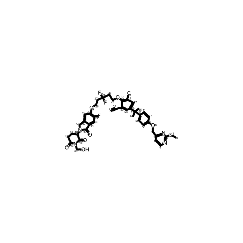 CSc1nccc(COc2ccc(C(C)(C)c3cc(Cl)c(OCCC(F)(F)CCOc4cc5c(cc4F)C(=O)N(C4CCC(=O)N(CO)C4=O)C5)c(C#N)c3)cc2)n1